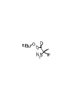 BC(C)(F)C(=O)OOC(C)(C)C